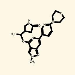 CC(Oc1nc(-c2ccc(N3CCOCC3)nc2)cc2nn(C)cc12)C1CNC(=O)C1